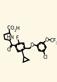 O=C(O)C1CCC(C(=O)c2cc(C3CC3)c(COc3cc(Cl)cc(OC(F)(F)F)c3)cc2F)N1